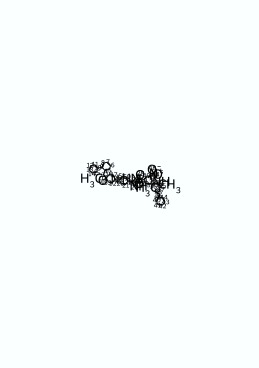 COC1(Cc2ccccc2-c2ccccc2)CCN(c2ccc(C(=N)NS(=O)(=O)c3ccc(NC(C)(C)CSc4ccccc4)c([N+](=O)[O-])c3)cc2)CC1